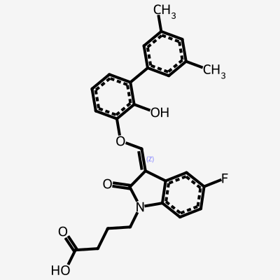 Cc1cc(C)cc(-c2cccc(O/C=C3\C(=O)N(CCCC(=O)O)c4ccc(F)cc43)c2O)c1